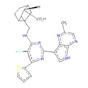 Cc1cnc2[nH]cc(-c3nc(NCC4C5CCC(CC5)[C@@H]4C(=O)O)c(F)c(-c4cccs4)n3)c2n1